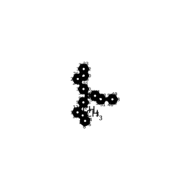 CC1(C)c2ccccc2-c2cccc(-c3ccc(N(c4ccc(-c5cccc6c5ccc5ccccc56)cc4)c4ccc5cc(-c6ccccc6)ccc5c4)cc3)c21